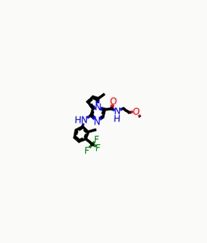 COCCNC(=O)c1cnc(Nc2cccc(C(F)(F)F)c2C)c2ccc(C)n12